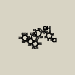 O[C@H](c1ccc(Cl)cc1)C1CCN(CC23CC(c4ccccc42)c2ccccc23)CC1